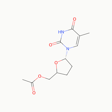 CC(=O)OCC1CC[C@@H](n2cc(C)c(=O)[nH]c2=O)O1